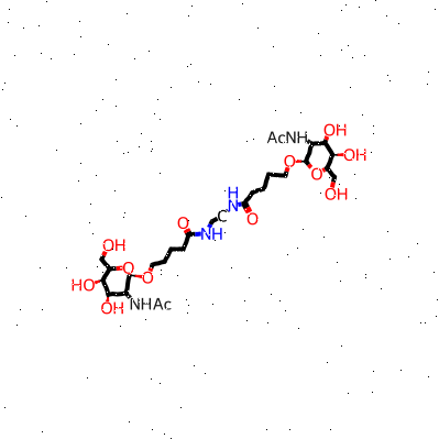 CC(=O)NC1C(O)[C@@H](O)C(CO)O[C@H]1OCCCCC(=O)NCCNC(=O)CCCCO[C@@H]1OC(CO)[C@H](O)[C@H](O)C1NC(C)=O